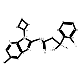 Cc1cnc2c(c1)nc(NC(=O)C[C@](C)(O)c1ccccc1F)n2C1CCC1